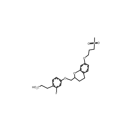 CS(=O)(=O)CCCOc1ccc2c(c1)OC(COc1ccc(CCC(=O)O)c(F)c1)CC2